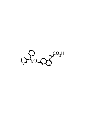 O=C(O)COc1cccc2c1CCC(CON=C(c1cccnc1)C1CCCCC1)=C2